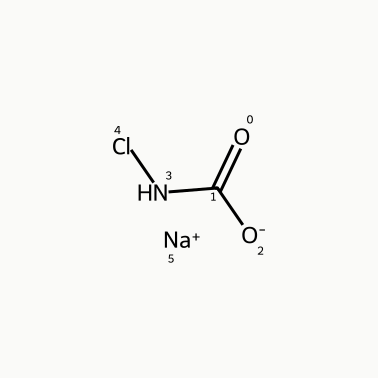 O=C([O-])NCl.[Na+]